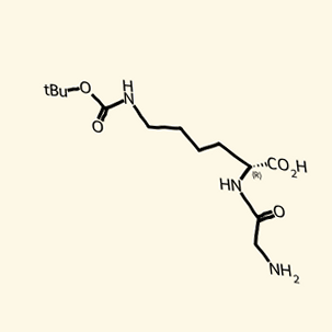 CC(C)(C)OC(=O)NCCCC[C@@H](NC(=O)CN)C(=O)O